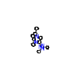 c1ccc(-c2cc3c4c5c(cc6c7ccccc7n(-c7cccc(-c8nc(-c9ccccc9)nc(-c9ccccc9)n8)c7)c6c5n(-c5ccccc5)c4c2)CC3)cc1